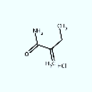 C=C(CC)C(N)=O.Cl